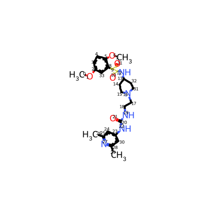 COc1ccc(OC)c(S(=O)(=O)NC2CCN(CCNC(=O)Nc3cc(C)nc(C)c3)CC2)c1